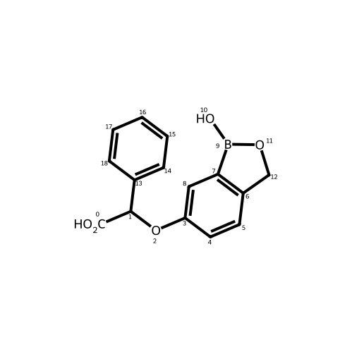 O=C(O)C(Oc1ccc2c(c1)B(O)OC2)c1ccccc1